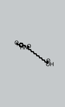 O=[C]c1ccc(CNC(=O)CCCCCCCCCCCCCC(=O)O)cc1